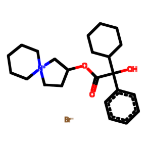 O=C(OC1CC[N+]2(CCCCC2)C1)C(O)(c1ccccc1)C1CCCCC1.[Br-]